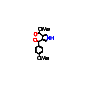 COC(=O)c1c[nH]cc1C(=O)c1ccc(OC)cc1